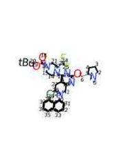 CN1CCC[C@H]1COc1nc2c(c(N3CCN(C(=O)OC(C)(C)C)C[C@@H]3C(F)F)n1)CCN(c1cccc3cccc(Cl)c13)C2